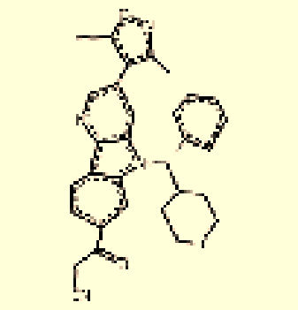 Cc1noc(C)c1-c1cnc2c3ccc(C(=O)CC#N)cc3n([C@H](c3ccccc3)C3CCOCC3)c2c1